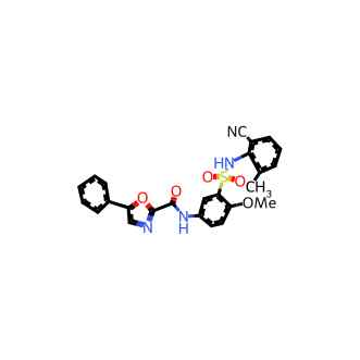 COc1ccc(NC(=O)c2ncc(-c3ccccc3)o2)cc1S(=O)(=O)Nc1c(C)cccc1C#N